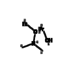 CC(C)O.CCON(C)C